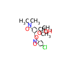 CCN(CC)C(=O)c1ccc(OC(C)(C)[C@H](C)O)c(COc2noc3cc(Cl)ccc23)c1